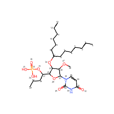 CCCCCCCC(CCCCCC)OC1C(C(CCC)OP(=O)(O)O)OC(n2ccc(=O)[nH]c2=O)C1OC